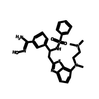 CN(C)CCN(C)c1cccc2nc(CC(NS(=O)(=O)c3ccccc3)c3cccc(C(N)=NO)c3)sc12